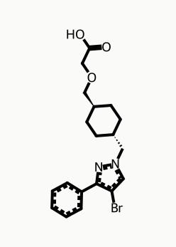 O=C(O)COC[C@H]1CC[C@H](Cn2cc(Br)c(-c3ccccc3)n2)CC1